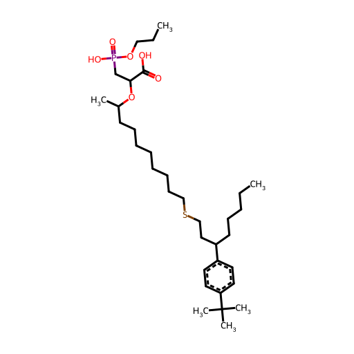 CCCCCC(CCSCCCCCCCCC(C)OC(CP(=O)(O)OCCC)C(=O)O)c1ccc(C(C)(C)C)cc1